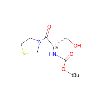 CC(C)(C)OC(=O)N[C@@H](CO)C(=O)N1CCSC1